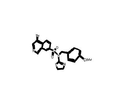 COc1ccc(CN(c2nccs2)S(=O)(=O)c2ccc3c(Br)cncc3c2)cc1